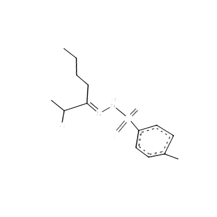 CCCC/C(=N\NS(=O)(=O)c1ccc(C)cc1)C(Cl)Cl